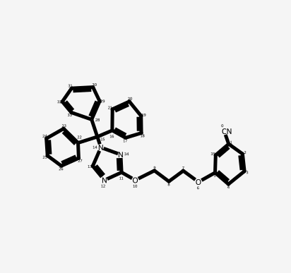 N#Cc1cccc(OCCCOc2ncn(C(c3ccccc3)(c3ccccc3)c3ccccc3)n2)c1